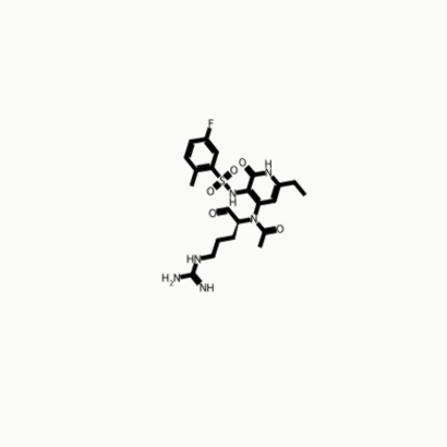 CCc1cc(N(C(C)=O)[C@H](C=O)CCCNC(=N)N)c(NS(=O)(=O)c2cc(F)ccc2C)c(=O)[nH]1